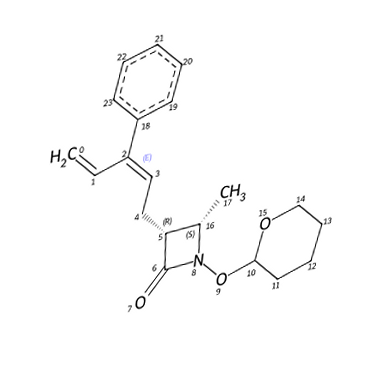 C=C/C(=C\C[C@H]1C(=O)N(OC2CCCCO2)[C@H]1C)c1ccccc1